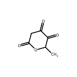 CC1OC(=O)CC(=O)C1=O